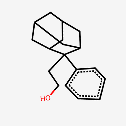 OCCC1(c2ccccc2)C2CC3CC(C2)CC1C3